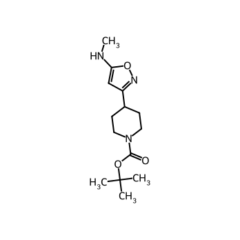 CNc1cc(C2CCN(C(=O)OC(C)(C)C)CC2)no1